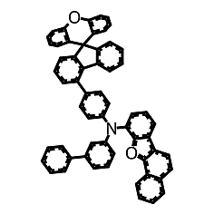 c1ccc(-c2cccc(N(c3ccc(-c4cccc5c4-c4ccccc4C54c5ccccc5Oc5ccccc54)cc3)c3cccc4c3oc3c5ccccc5ccc43)c2)cc1